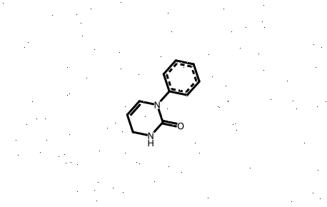 O=C1NCC=CN1c1ccccc1